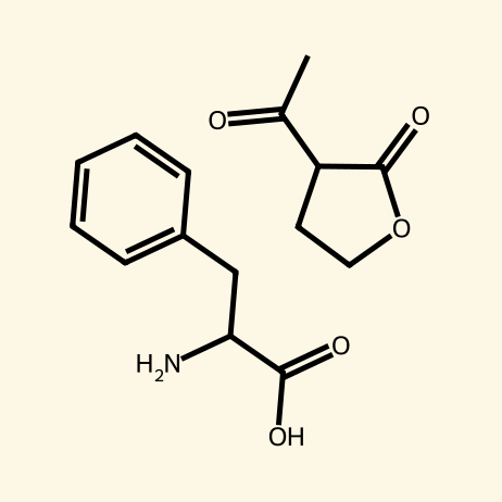 CC(=O)C1CCOC1=O.NC(Cc1ccccc1)C(=O)O